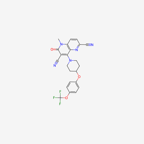 Cn1c(=O)c(C#N)c(N2CCC(Oc3ccc(OC(F)(F)F)cc3)CC2)c2nc(C#N)ccc21